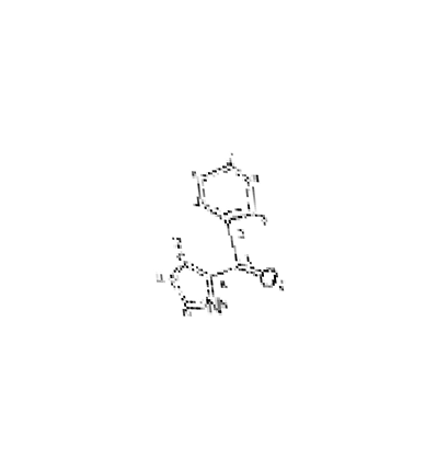 O=C(c1c[c]ccc1)c1nccs1